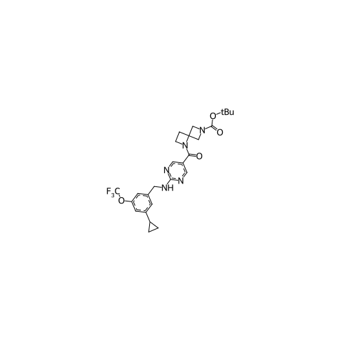 CC(C)(C)OC(=O)N1CC2(CCN2C(=O)c2cnc(NCc3cc(OC(F)(F)F)cc(C4CC4)c3)nc2)C1